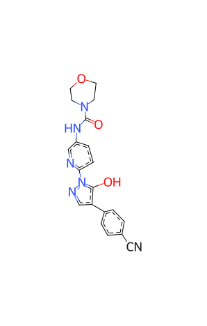 N#Cc1ccc(-c2cnn(-c3ccc(NC(=O)N4CCOCC4)cn3)c2O)cc1